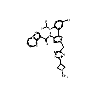 CN1CC(n2nnc(Cn3cc(NC(=O)c4cnn5cccnc45)c(-c4cc(Cl)ccc4OC(F)F)n3)n2)C1